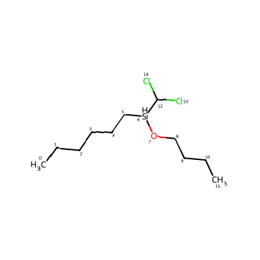 CCCCCC[SiH](OCCCC)C(Cl)Cl